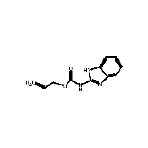 C=CCOC(=O)Nc1nc2ccccc2[nH]1